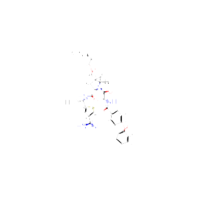 CC(=O)NCCOC[C@@]12C[C@@H]1N(C(=O)CNC(=O)c1ccc(Oc3ccccc3)cc1)[C@H](C(=O)N[C@H](C)c1cc(C(=N)N)cs1)C2